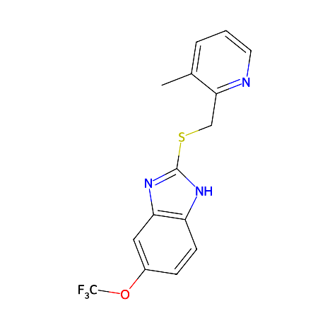 Cc1cccnc1CSc1nc2cc(OC(F)(F)F)ccc2[nH]1